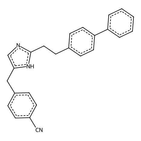 N#Cc1ccc(Cc2cnc(CCc3ccc(-c4ccccc4)cc3)[nH]2)cc1